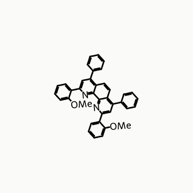 COc1ccccc1-c1cc(-c2ccccc2)c2ccc3c(-c4ccccc4)cc(-c4ccccc4OC)nc3c2n1